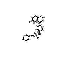 O=S(=O)(C=Cc1ccccc1)Nc1ccc(C2=NCCc3ccc(F)cc32)cc1